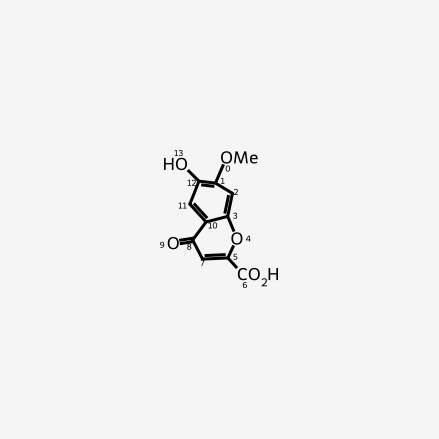 COc1cc2oc(C(=O)O)cc(=O)c2cc1O